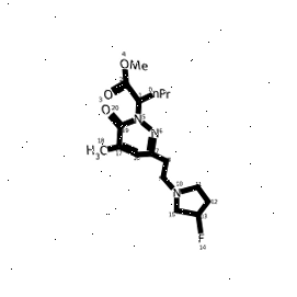 CCCC(C(=O)OC)n1nc(CCN2CCC(F)C2)cc(C)c1=O